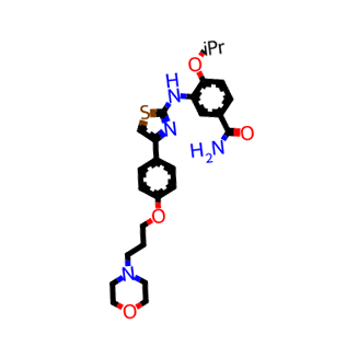 CC(C)Oc1ccc(C(N)=O)cc1Nc1nc(-c2ccc(OCCCN3CCOCC3)cc2)cs1